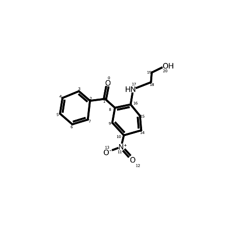 O=C(c1ccccc1)c1cc([N+](=O)[O-])ccc1NCCO